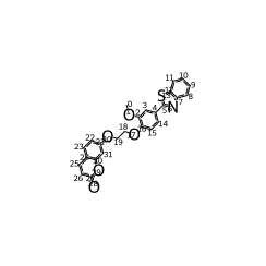 COc1cc(-c2nc3ccccc3s2)ccc1OCCOc1ccc2ccc(=O)oc2c1